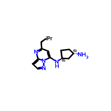 CC(C)Cc1cc(N[C@H]2CC[C@H](N)C2)n2nccc2n1